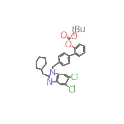 CC(C)(C)OC(=O)Oc1ccccc1-c1ccc(Cn2c(CC3CCCCC3)nc3cc(Cl)c(Cl)cc32)cc1